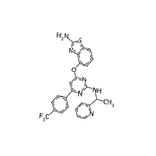 CC(Nc1nc(Oc2cccc3sc(N)nc23)cc(-c2ccc(C(F)(F)F)cc2)n1)c1ccccn1